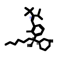 CCCCCC[C@@](O)(c1cccc(/C=C(\C(C)C)C(C)(C)C)c1C)[C@@H]1CCCNC1